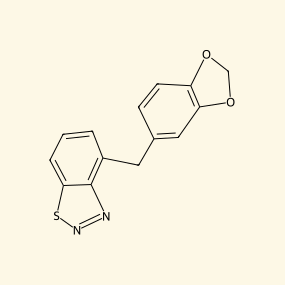 c1cc(Cc2ccc3c(c2)OCO3)c2nnsc2c1